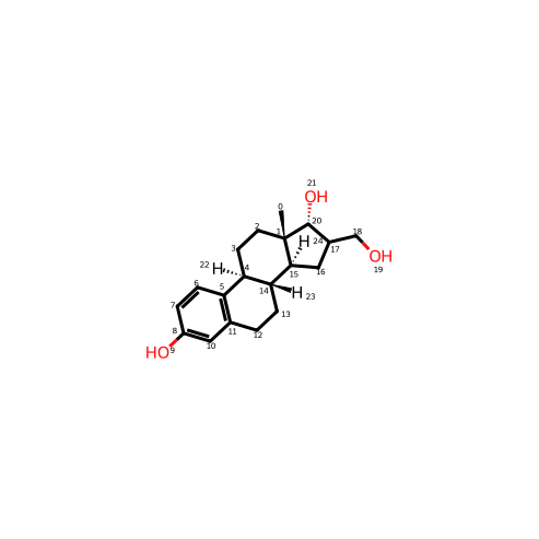 C[C@]12CC[C@@H]3c4ccc(O)cc4CC[C@H]3[C@@H]1CC(CO)[C@H]2O